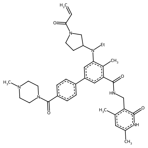 C=CC(=O)N1CCC(N(CC)c2cc(-c3ccc(C(=O)N4CCN(C)CC4)cc3)cc(C(=O)NCc3c(C)cc(C)[nH]c3=O)c2C)C1